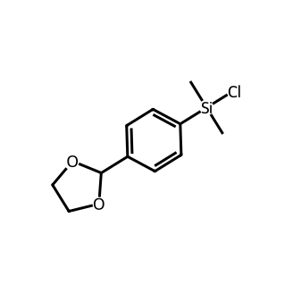 C[Si](C)(Cl)c1ccc(C2OCCO2)cc1